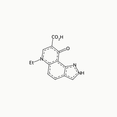 CCn1cc(C(=O)O)c(=O)c2c3n[nH]cc3ccc21